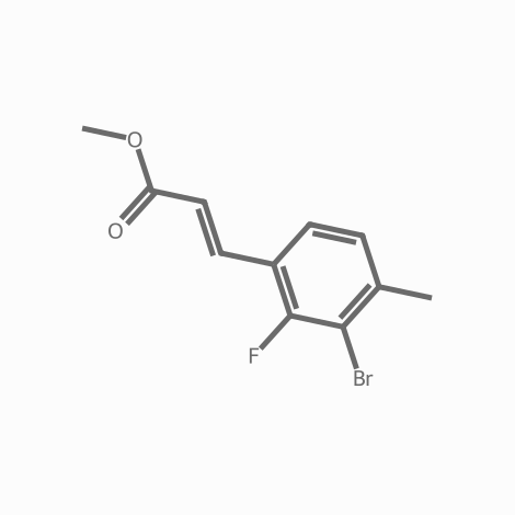 COC(=O)/C=C/c1ccc(C)c(Br)c1F